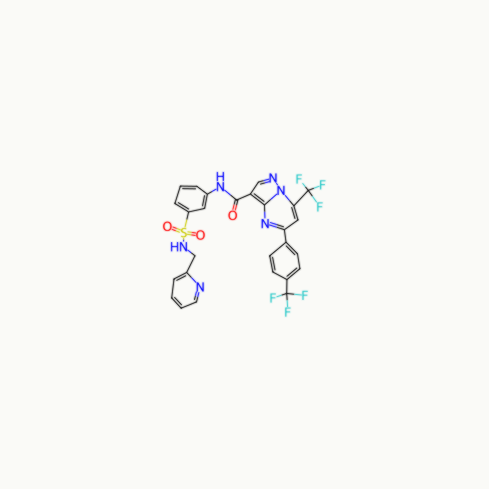 O=C(Nc1cccc(S(=O)(=O)NCc2ccccn2)c1)c1cnn2c(C(F)(F)F)cc(-c3ccc(C(F)(F)F)cc3)nc12